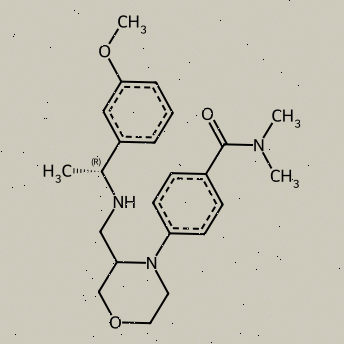 COc1cccc([C@@H](C)NCC2COCCN2c2ccc(C(=O)N(C)C)cc2)c1